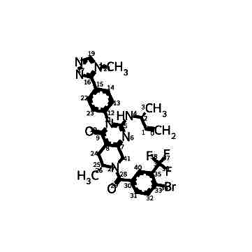 C=C[C@H](C)Nc1nc2c(c(=O)n1-c1ccc(-c3nncn3C)cc1)C[C@@H](C)N(C(=O)c1ccc(Br)c(C(F)(F)F)c1)C2